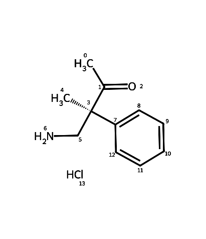 CC(=O)[C@](C)(CN)c1ccccc1.Cl